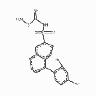 N=C(NS(=O)(=O)c1ccc2c(-c3ccc(F)cc3Br)cccc2c1)SN